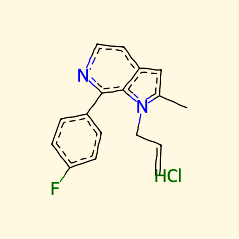 C=CCn1c(C)cc2ccnc(-c3ccc(F)cc3)c21.Cl